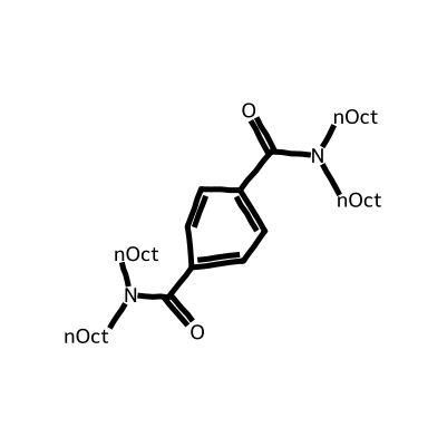 CCCCCCCCN(CCCCCCCC)C(=O)c1ccc(C(=O)N(CCCCCCCC)CCCCCCCC)cc1